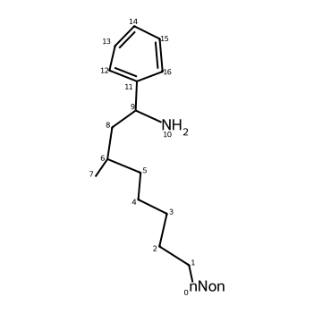 CCCCCCCCCCCCCCC(C)CC(N)c1ccccc1